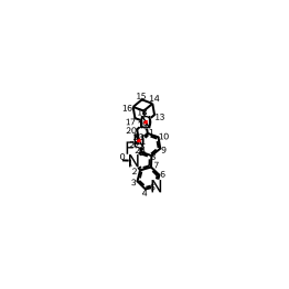 Cn1c2ccncc2c2ccc(N3CC4CC(C3)C4OCCF)nc21